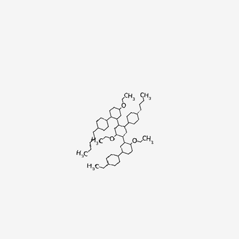 CCCCCC1CCC(C2CCC(OCC)CC2C2CC(OCC)C(C3CC(C4CCC(CC)CC4)CCC3OCC)CC2C2CCC(CCCC)CC2)CC1